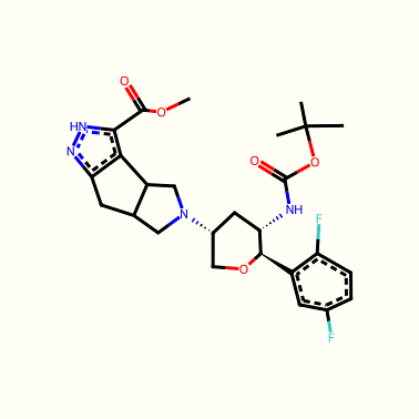 COC(=O)c1[nH]nc2c1C1CN([C@H]3CO[C@H](c4cc(F)ccc4F)[C@@H](NC(=O)OC(C)(C)C)C3)CC1C2